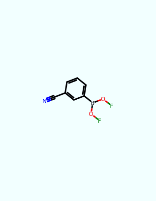 N#Cc1cccc(B(OF)OF)c1